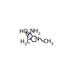 CCCN1CCC(C)(F)C(/C(N)=N/O)C1